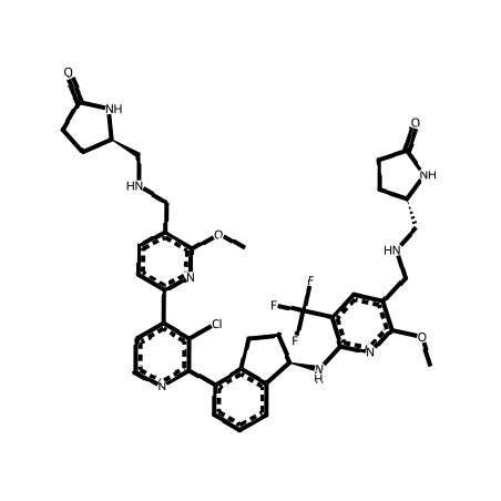 COc1nc(-c2ccnc(-c3cccc4c3CC[C@H]4Nc3nc(OC)c(CNC[C@@H]4CCC(=O)N4)cc3C(F)(F)F)c2Cl)ccc1CNC[C@H]1CCC(=O)N1